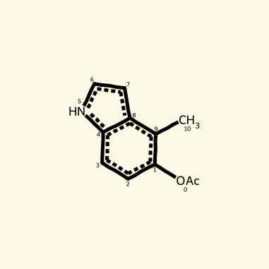 CC(=O)Oc1ccc2[nH]ccc2c1C